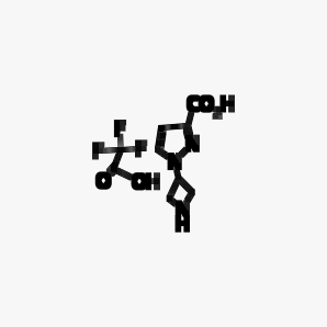 O=C(O)C(F)(F)F.O=C(O)c1ccn(C2CNC2)n1